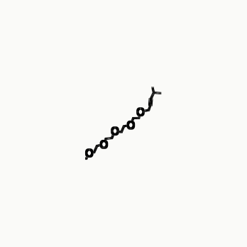 COCCOCCOCCOCCOCC#CC(C)C